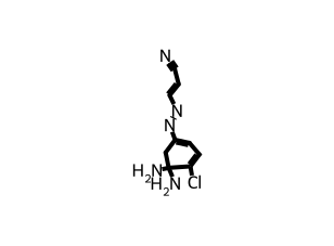 N#CC=CN=NC1=CC=C(Cl)C(N)(N)C1